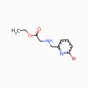 CCOC(=O)CNCc1cccc(Br)n1